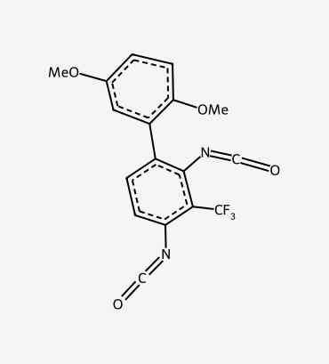 COc1ccc(OC)c(-c2ccc(N=C=O)c(C(F)(F)F)c2N=C=O)c1